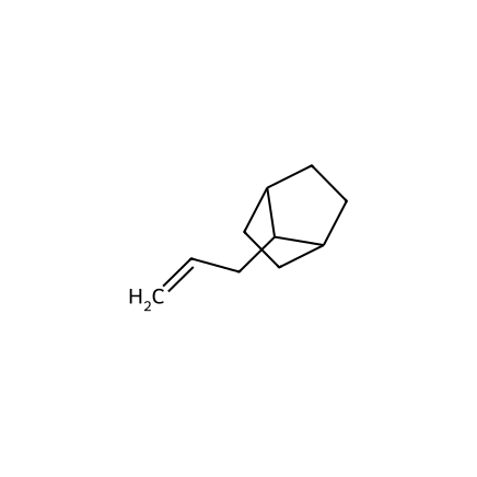 C=CCC1C2CCC1CC2